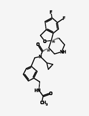 CC(=O)NCc1cccc(CN(C(=O)[C@H]2CNCC[C@@]23OCc2cc(F)c(F)cc23)C2CC2)c1